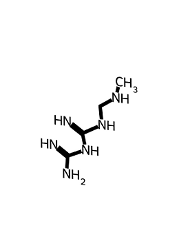 CNCNC(=N)NC(=N)N